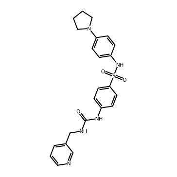 O=C(NCc1cccnc1)Nc1ccc(S(=O)(=O)Nc2ccc(N3CCCC3)cc2)cc1